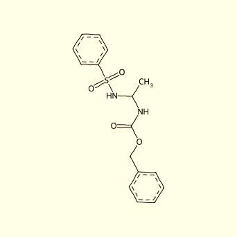 CC(NC(=O)OCc1ccccc1)NS(=O)(=O)c1ccccc1